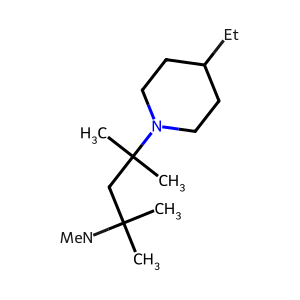 CCC1CCN(C(C)(C)CC(C)(C)NC)CC1